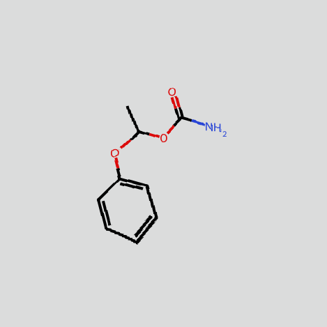 CC(OC(N)=O)Oc1ccccc1